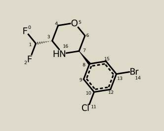 FC(F)[C@@H]1COC[C@@H](c2cc(Cl)cc(Br)c2)N1